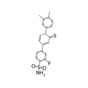 Cc1ccc(C2C=CC(c3ccc(S(N)(=O)=O)c(F)c3)=CC2=S)cc1C